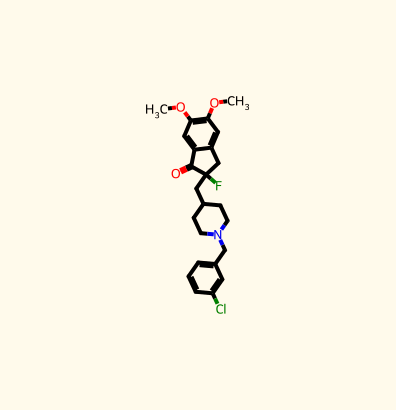 COc1cc2c(cc1OC)C(=O)C(F)(CC1CCN(Cc3cccc(Cl)c3)CC1)C2